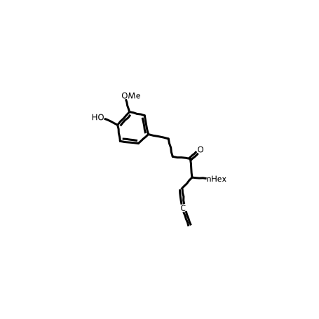 C=C=CC(CCCCCC)C(=O)CCc1ccc(O)c(OC)c1